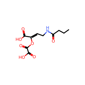 CCCC(=O)NCC=C(OC(=O)C(=O)O)C(=O)O